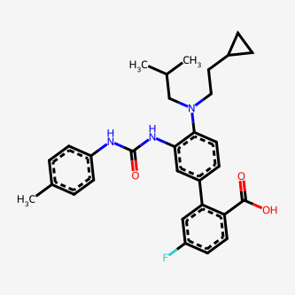 Cc1ccc(NC(=O)Nc2cc(-c3cc(F)ccc3C(=O)O)ccc2N(CCC2CC2)CC(C)C)cc1